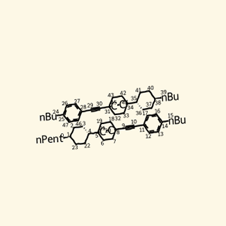 CCCCC[C@H]1CC[C@H](C23CCC(C#Cc4ccc(CCCC)cc4)(CC2)CC3)CC1.CCCCc1ccc(C#CC23CCC([C@H]4CC[C@H](CCCC)CC4)(CC2)CC3)cc1